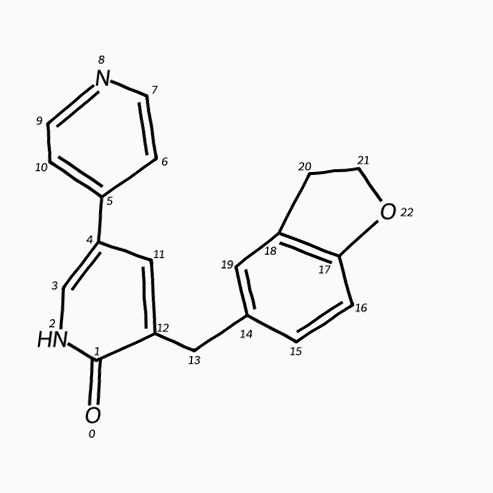 O=c1[nH]cc(-c2ccncc2)cc1Cc1ccc2c(c1)CCO2